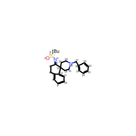 CC(C)(C)[S+]([O-])N=C1CCc2ccccc2C12CCN(Cc1ccccc1)CC2